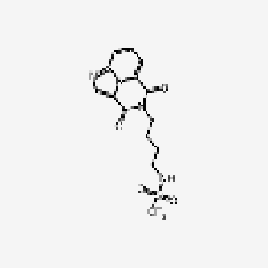 O=c1c2cccc3ncc(c(=O)n1CCCCNS(=O)(=O)C(F)(F)F)n32